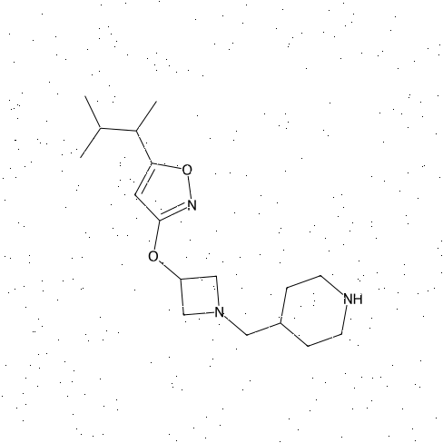 CC(C)C(C)c1cc(OC2CN(CC3CCNCC3)C2)no1